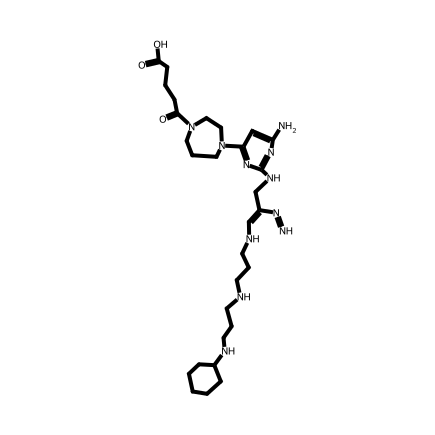 N=N/C(=C\NCCCNCCCNC1CCCCC1)CNc1nc(N)cc(N2CCCN(C(=O)CCCC(=O)O)CC2)n1